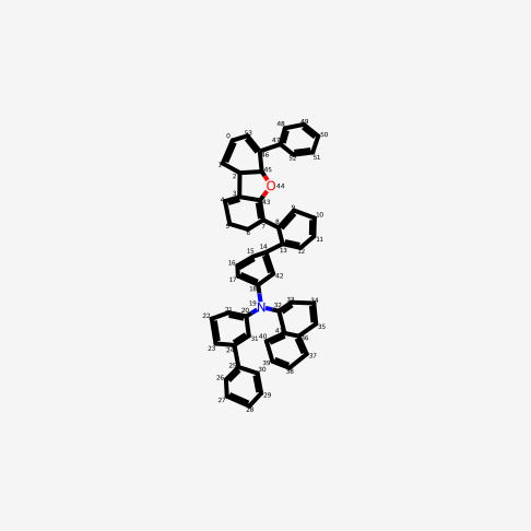 C1=CC2C3=CCCC(c4ccccc4-c4cccc(N(c5cccc(-c6ccccc6)c5)c5cccc6ccccc56)c4)=C3OC2C(c2ccccc2)=C1